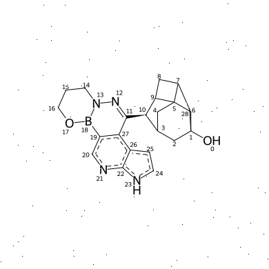 OC12CC3CC4(C1)C(CC4[C@@H]3C1=NN3CCCOB3c3cnc4[nH]ccc4c31)C2